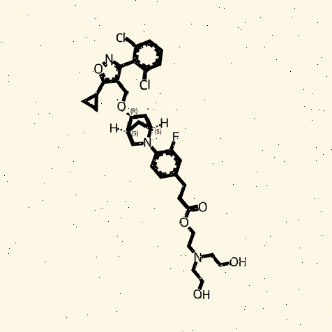 O=C(CCc1ccc(N2C[C@@H]3C[C@H]2C[C@H]3OCc2c(-c3c(Cl)cccc3Cl)noc2C2CC2)c(F)c1)OCCN(CCO)CCO